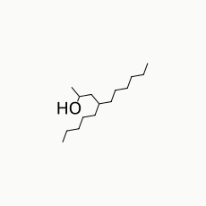 CCCCCCC(CCCCC)CC(C)O